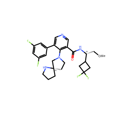 COC[C@@H](NC(=O)c1cncc(-c2cc(F)cc(F)c2)c1N1CC[C@@]2(CCCN2)C1)C1CC(F)(F)C1